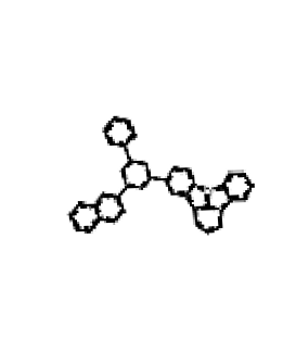 c1ccc(-c2cc(-c3ccc4ccccc4c3)cc(-c3ccc4c(c3)c3cccc5c6ccccc6n4c53)c2)cc1